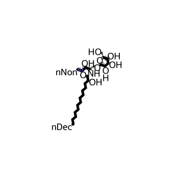 CCCCCCCCC/C=C/[C@@H](O)[C@H](CO[C@@H]1O[C@H](CO)[C@@H](O)C(O)C1O)NC(=O)C(O)CCCCCCCCCCCCCCCCCCCCCC